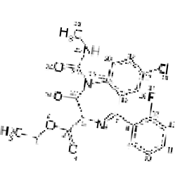 CCOC(=O)C1N=C(c2ccccc2F)c2cc(Cl)ccc2N(C(=O)NC)C1=O